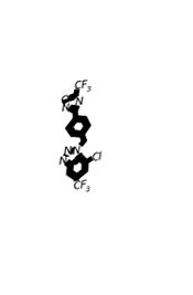 FC(F)(F)c1cc(Cl)c2c(c1)nnn2Cc1ccc(-c2noc(C(F)(F)F)n2)cc1